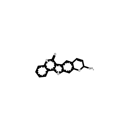 O=c1oc2ccccc2c2oc3cc4c(cc3c12)C=CC([SiH3])O4